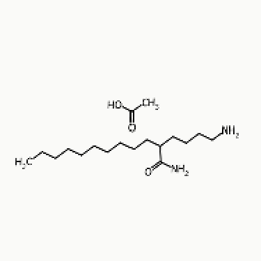 CC(=O)O.CCCCCCCCCCC(CCCCN)C(N)=O